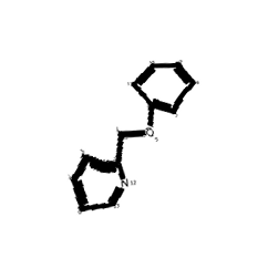 [c]1ccc(COc2ccccc2)nc1